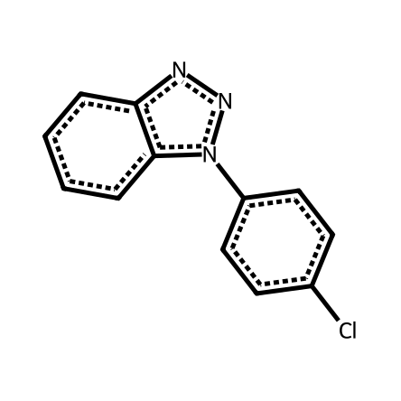 Clc1ccc(-n2nnc3ccccc32)cc1